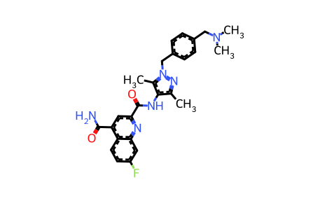 Cc1nn(Cc2ccc(CN(C)C)cc2)c(C)c1NC(=O)c1cc(C(N)=O)c2ccc(F)cc2n1